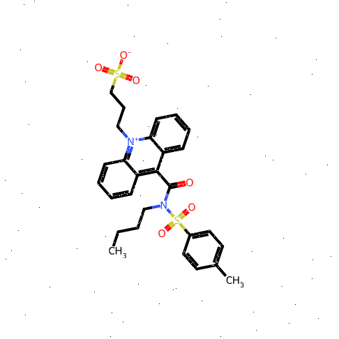 CCCCN(C(=O)c1c2ccccc2[n+](CCCS(=O)(=O)[O-])c2ccccc12)S(=O)(=O)c1ccc(C)cc1